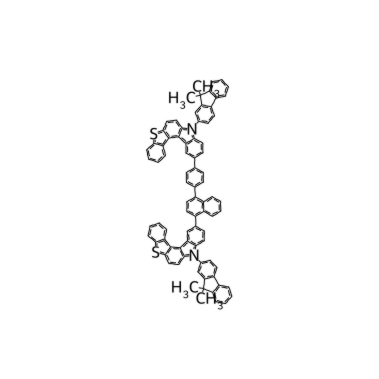 CC1(C)c2ccccc2-c2ccc(-n3c4ccc(-c5ccc(-c6ccc(-c7ccc8c(c7)c7c9c(ccc7n8-c7ccc8c(c7)C(C)(C)c7ccccc7-8)sc7ccccc79)c7ccccc67)cc5)cc4c4c5c(ccc43)sc3ccccc35)cc21